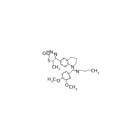 CCCC/N=C(/c1ccc(OC)c(OC)c1)N1CCCc2cc(C3=NNC(=O)SC3C)ccc21